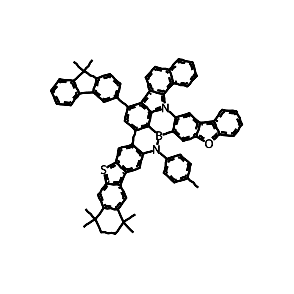 Cc1ccc(N2B3c4cc5oc6ccccc6c5cc4-n4c5c3c(cc(-c3ccc6c(c3)-c3ccccc3C6(C)C)c5c3ccc5ccccc5c34)-c3cc4sc5cc6c(cc5c4cc32)C(C)(C)CCC6(C)C)cc1